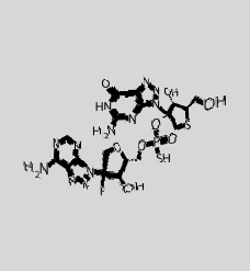 Nc1nc2c(nnn2[C@]2(OP(=O)(S)OC[C@H]3OCC(F)(n4nnc5c(N)ncnc54)[C@@H]3O)CS[C@H](CO)[C@H]2O)c(=O)[nH]1